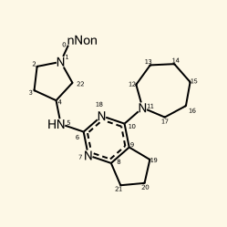 CCCCCCCCCN1CCC(Nc2nc3c(c(N4CCCCCC4)n2)CCC3)C1